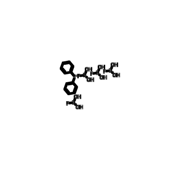 OB(O)F.OB(O)F.OB(O)F.OB(O)F.c1ccc([I+]c2ccccc2)cc1